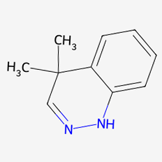 CC1(C)C=NNc2ccccc21